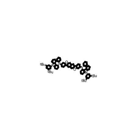 CC(C)(C)c1cc(-n2c3ccccc3c3c(N(c4ccccc4)c4ccc5c(c4)oc4cc6cc7c(cc6cc45)oc4cc(N(c5ccccc5)c5cccc6c5c5ccccc5n6-c5cc(C(C)(C)C)cc(C(C)(C)C)c5)ccc47)cccc32)cc(C(C)(C)C)c1